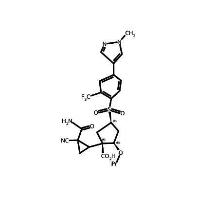 CC(C)O[C@@H]1C[C@H](S(=O)(=O)c2ccc(-c3cnn(C)c3)cc2C(F)(F)F)C[C@@]1(C(=O)O)C1CC1(C#N)C(N)=O